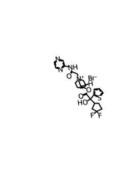 O=C(C[N+]12CCC(CC1)[C@@H](OC(=O)C(O)(c1cccs1)C1CCC(F)(F)C1)C2)Nc1cnccn1.[Br-]